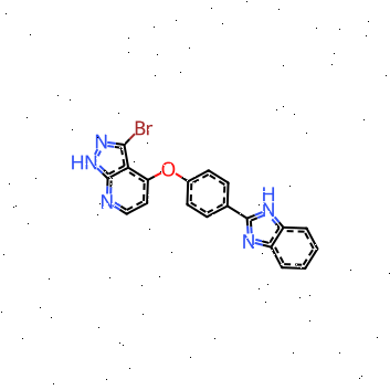 Brc1n[nH]c2nccc(Oc3ccc(-c4nc5ccccc5[nH]4)cc3)c12